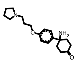 NC1(c2ccc(OCCCN3CCCC3)cc2)CCC(=O)CC1